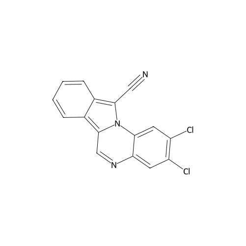 N#Cc1c2ccccc2c2cnc3cc(Cl)c(Cl)cc3n12